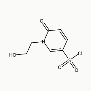 O=c1ccc(S(=O)(=O)Cl)cn1CCO